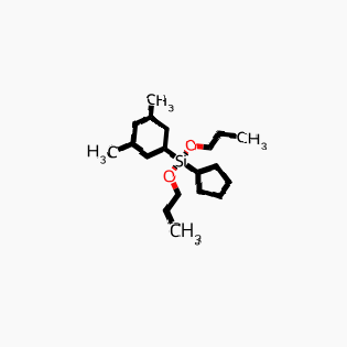 CCCO[Si](OCCC)(C1CCCC1)C1CC(C)CC(C)C1